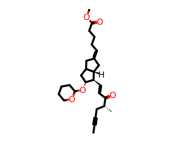 CC#CC[C@@H](C)C(=O)/C=C/[C@H]1[C@H](OC2CCCCO2)CC2C/C(=C\CCCC(=O)OC)C[C@@H]21